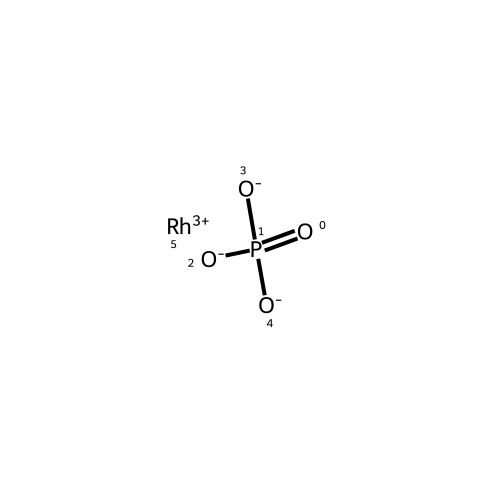 O=P([O-])([O-])[O-].[Rh+3]